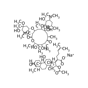 CC(=O)O[C@H]1C[C@@]2(C)[C@@H](C[C@@H](O)[C@H]3[C@@]4(C)CC[C@@H](O)[C@@H](C)[C@@H]4CC[C@@]32C)/C1=C(\CCC=C(C)C)C(=O)[O-].CC[C@H]1OC(=O)[C@H](C)[C@@H](O[C@H]2C[C@@](C)(OC)[C@@H](O)[C@H](C)O2)[C@H](C)[C@@H](O[C@@H]2O[C@H](C)C[C@H](N(C)C)[C@H]2O)[C@](C)(O)C[C@@H](C)C(=O)[C@H](C)[C@@H](O)[C@]1(C)O.[Na+]